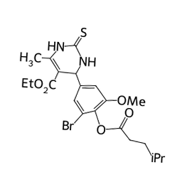 CCOC(=O)C1=C(C)NC(=S)NC1c1cc(Br)c(OC(=O)CCC(C)C)c(OC)c1